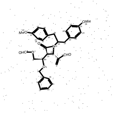 C=C(C=O)[C@@H]1[C@@H]([C@H](COC=O)OCc2ccccc2)C(=O)N1C(Cc1ccc(OC)cc1)Cc1ccc(OC)cc1